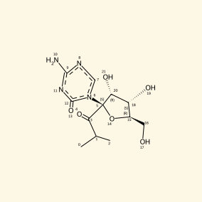 CC(C)C(=O)[C@@]1(n2cnc(N)nc2=O)O[C@H](CO)[C@@H](O)[C@H]1O